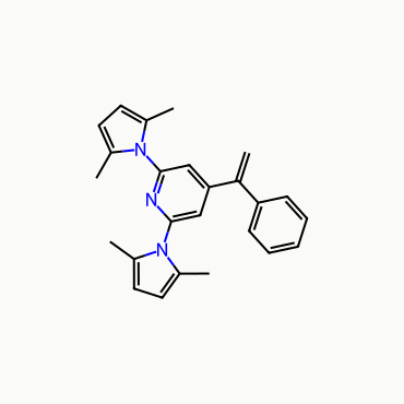 C=C(c1ccccc1)c1cc(-n2c(C)ccc2C)nc(-n2c(C)ccc2C)c1